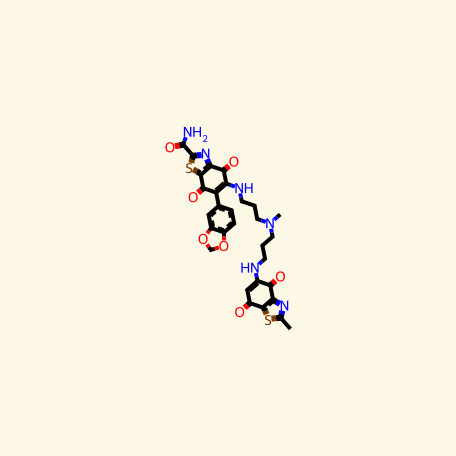 Cc1nc2c(s1)C(=O)C=C(NCCCN(C)CCCNC1=C(c3ccc4c(c3)OCO4)C(=O)c3sc(C(N)=O)nc3C1=O)C2=O